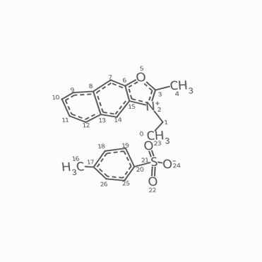 CC[n+]1c(C)oc2cc3ccccc3cc21.Cc1ccc(S(=O)(=O)[O-])cc1